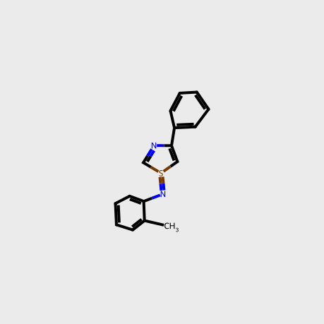 Cc1ccccc1N=S1C=NC(c2ccccc2)=C1